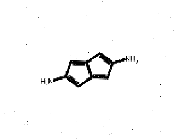 NC1=CC2=CC(N)=CC2=C1